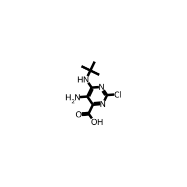 CC(C)(C)Nc1nc(Cl)nc(C(=O)O)c1N